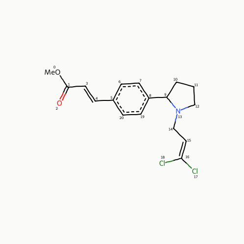 COC(=O)C=Cc1ccc(C2CCCN2CC=C(Cl)Cl)cc1